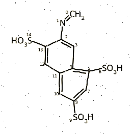 C=Nc1cc2c(S(=O)(=O)O)cc(S(=O)(=O)O)cc2cc1S(=O)(=O)O